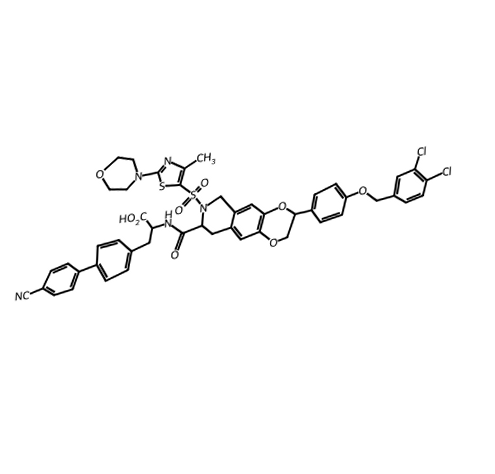 Cc1nc(N2CCOCC2)sc1S(=O)(=O)N1Cc2cc3c(cc2CC1C(=O)NC(Cc1ccc(-c2ccc(C#N)cc2)cc1)C(=O)O)OCC(c1ccc(OCc2ccc(Cl)c(Cl)c2)cc1)O3